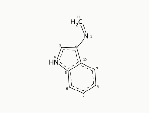 C=Nc1c[nH]c2ccccc12